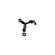 N[SH](=O)=O.[Cr]